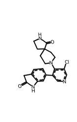 O=C1Cc2ccc(-c3cncc(Cl)c3N3CCC4(CCNC4=O)CC3)cc2N1